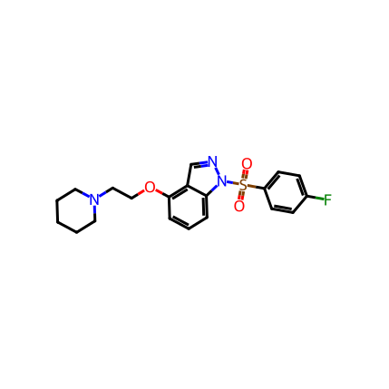 O=S(=O)(c1ccc(F)cc1)n1ncc2c(OCCN3CCCCC3)cccc21